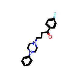 O=C(CCCN1CCN(c2ccccc2)CC1)c1ccc(F)cc1